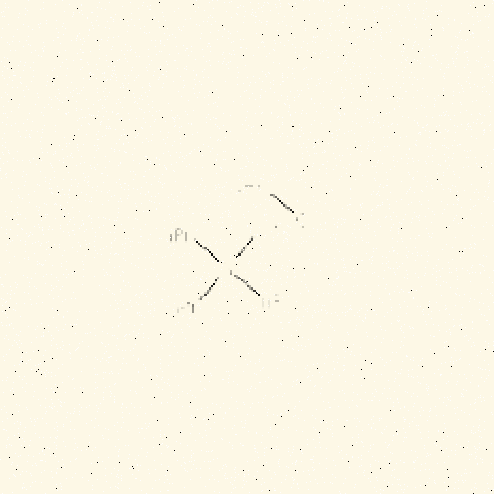 CC=O.CCC[N+](CCC)(CCC)CCC